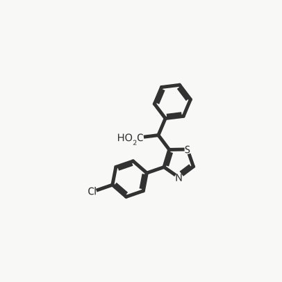 O=C(O)C(c1ccccc1)c1scnc1-c1ccc(Cl)cc1